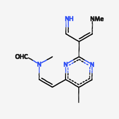 CN/C=C(\C=N)c1ncc(C)c(/C=C\N(C)C=O)n1